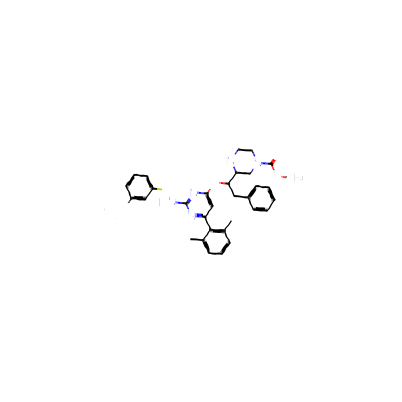 Cc1cccc(C)c1-c1cc(OC(Cc2ccccc2)C2CN(C(=O)OC(C)(C)C)CCN2)nc(NSc2cccc(C(=O)O)c2)n1